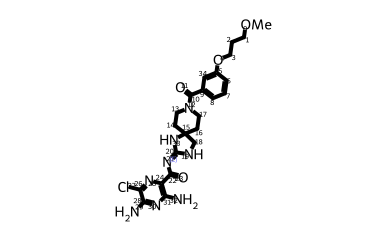 COCCCOc1cccc(C(=O)N2CCC3(CC2)CN/C(=N\C(=O)c2nc(Cl)c(N)nc2N)N3)c1